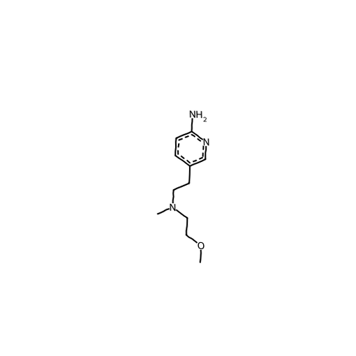 COCCN(C)CCc1ccc(N)nc1